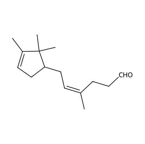 CC1=CCC(C/C=C(/C)CCC=O)C1(C)C